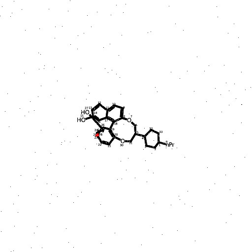 CCCC1CCC(C2COc3ccc4ccc(O)cc4c3-c3c(ccc4ccc(O)cc34)OC2)CC1